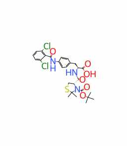 CC(C)(C)OC(=O)N1[C@@H](C(=O)N[C@@H](Cc2ccc(NC(=O)c3c(Cl)cccc3Cl)cc2)C(=O)O)CSC1(C)C